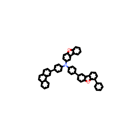 c1ccc(-c2cccc3c2oc2ccc(-c4ccc(N(c5ccc(-c6ccc7ccc8ccccc8c7c6)cc5)c5ccc6oc7ccccc7c6c5)cc4)cc23)cc1